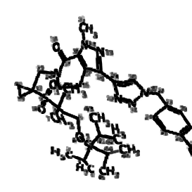 CC(C)[Si](OCC(C)(C)S(=O)(=O)C1(CN2CCc3c(-c4cn(Cc5ccc(C#N)cc5)nn4)nn(C)c3C2=O)CC1)(C(C)C)C(C)C